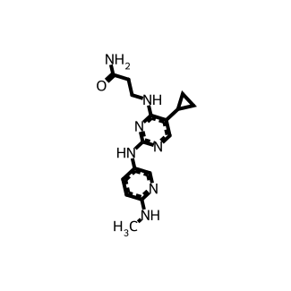 CNc1ccc(Nc2ncc(C3CC3)c(NCCC(N)=O)n2)cn1